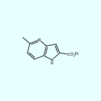 CCOC(=O)c1cc2nc(C)ccc2[nH]1